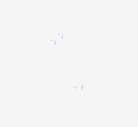 BCc1ccc(-c2cnns2)cc1